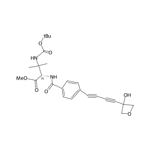 COC(=O)[C@@H](NC(=O)c1ccc(C#CC#CC2(O)COC2)cc1)C(C)(C)NC(=O)OC(C)(C)C